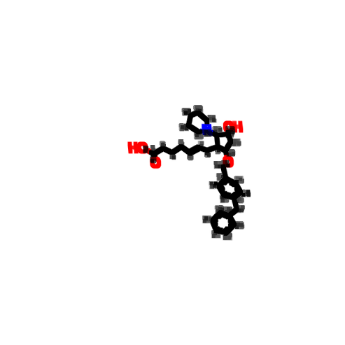 O=C(O)CCC/C=C/CC1C(OCc2ccc(Cc3ccccc3)cc2)CC(O)C1N1CCCCC1